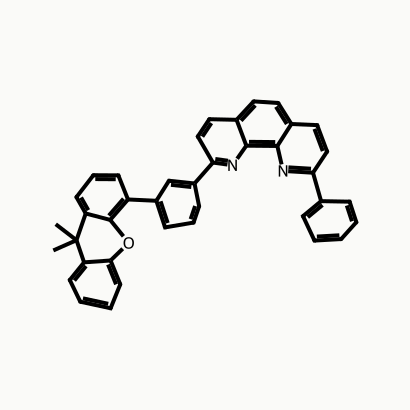 CC1(C)c2ccccc2Oc2c(-c3cccc(-c4ccc5ccc6ccc(-c7ccccc7)nc6c5n4)c3)cccc21